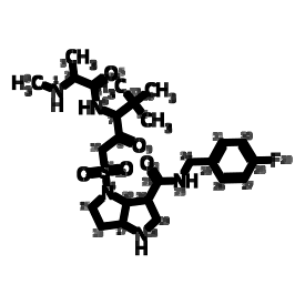 CNC(C)C(=O)NC(C(=O)CS(=O)(=O)N1CCC2NCC(C(=O)NCc3ccc(F)cc3)C21)C(C)(C)C